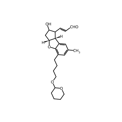 Cc1cc(CCCCOC2CCCCO2)c2c(c1)[C@H]1C(C=CC=O)C(O)C[C@H]1O2